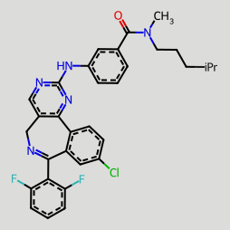 CC(C)CCCN(C)C(=O)c1cccc(Nc2ncc3c(n2)-c2ccc(Cl)cc2C(c2c(F)cccc2F)=NC3)c1